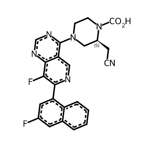 N#CC[C@H]1CN(c2ncnc3c(F)c(-c4cc(F)cc5ccccc45)ncc23)CCN1C(=O)O